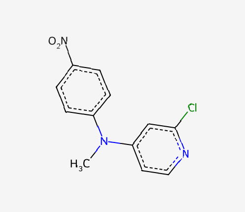 CN(c1ccc([N+](=O)[O-])cc1)c1ccnc(Cl)c1